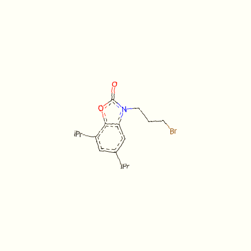 CC(C)c1cc(C(C)C)c2oc(=O)n(CCCBr)c2c1